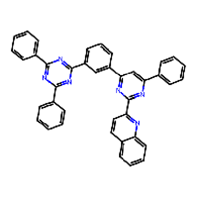 c1ccc(-c2cc(-c3cccc(-c4nc(-c5ccccc5)nc(-c5ccccc5)n4)c3)nc(-c3ccc4ccccc4n3)n2)cc1